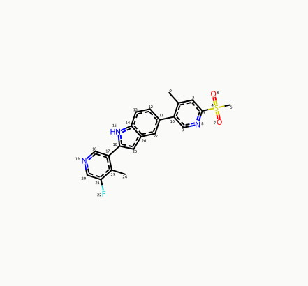 Cc1cc(S(C)(=O)=O)ncc1-c1ccc2[nH]c(-c3cncc(F)c3C)cc2c1